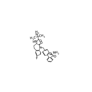 CC(C)(N)C(=O)N[C@@H]1CCc2cc(F)ccc2N(Cc2ccc(-c3ccccc3S(N)(=O)=O)cc2)C1=O